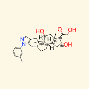 Cc1cccc(-n2ncc3c2C=C2CC[C@@H]4[C@H]([C@@H](O)C[C@@]5(C)[C@H]4C[C@@H](O)[C@@H]5C(=O)CO)[C@@]2(C)C3)c1